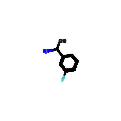 NC(C=O)c1cccc(F)c1